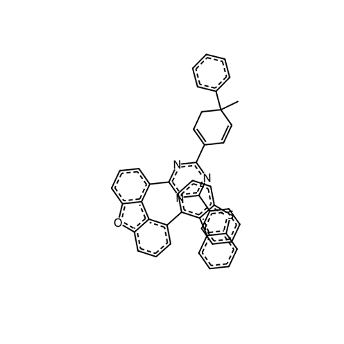 CC1(c2ccccc2)C=CC(c2nc(-c3ccccc3)nc(-c3cccc4oc5cccc(-c6cccc7sc8ccccc8c67)c5c34)n2)=CC1